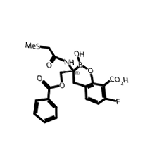 CSCC(=O)N[C@@]1(COC(=O)c2ccccc2)Cc2ccc(F)c(C(=O)O)c2OB1O